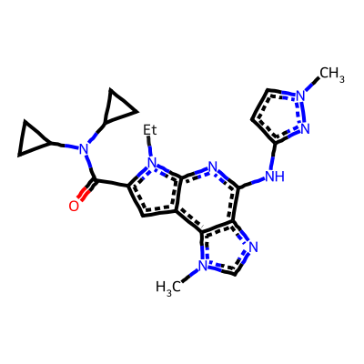 CCn1c(C(=O)N(C2CC2)C2CC2)cc2c3c(ncn3C)c(Nc3ccn(C)n3)nc21